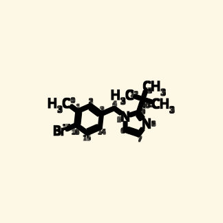 Cc1cc(Cn2ccnc2C(C)(C)C)ccc1Br